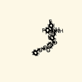 N=C1NC(c2ccc(F)cc2)(c2ccc(F)cc2)C(=O)N1Cc1cncc(C(=O)N2CCN(C(=O)OCCOCc3ccccc3)CC2)c1